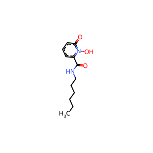 CCCCCCNC(=O)c1cccc(=O)n1O